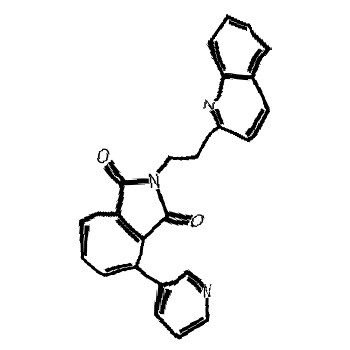 O=C1c2cccc(-c3cccnc3)c2C(=O)N1CCc1ccc2ccccc2n1